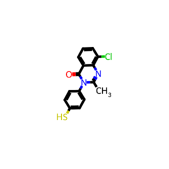 Cc1nc2c(Cl)cccc2c(=O)n1-c1ccc(S)cc1